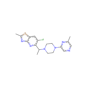 Cc1cncc(N2CCN(C(C)c3nc4nc(C)sc4cc3F)CC2)n1